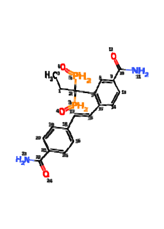 CCC([PH2]=O)([PH2]=O)c1cc(C(N)=O)ccc1C=Cc1ccc(C(N)=O)cc1